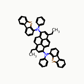 CCc1cc(N(c2ccccc2)c2cccc3c2sc2ccccc23)c2ccc3c(CC)cc(N(c4ccccc4)c4cccc5c4sc4ccccc45)c4ccc1c2c34